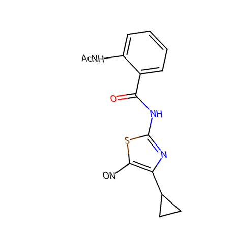 CC(=O)Nc1ccccc1C(=O)Nc1nc(C2CC2)c(N=O)s1